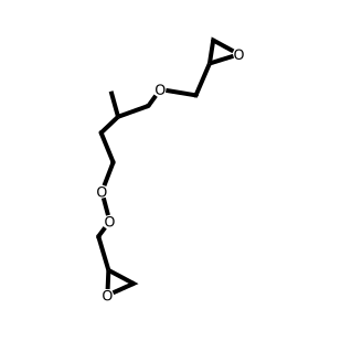 CC(CCOOCC1CO1)COCC1CO1